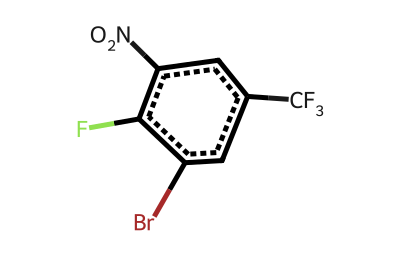 O=[N+]([O-])c1cc(C(F)(F)F)cc(Br)c1F